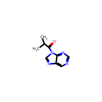 CC(C)C(=O)n1cnc2cncnc21